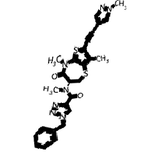 Cc1c(C#Cc2cnn(C)c2)sc2c1SC[C@H](N(C)C(=O)c1cn(Cc3ccccc3)nn1)C(=O)N2C